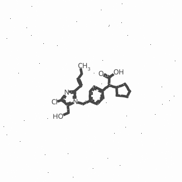 CC/C=C/c1nc(Cl)c(CO)n1Cc1ccc(C(C(=O)O)C2CCCC2)cc1